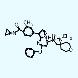 Cc1cc(-c2cnn3c(NCC4(N(C)C)CCOCC4)cc(Oc4ccccc4)nc23)ccc1C(=O)NC1CC1